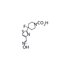 O=C(O)N1CCC(F)(c2nc(/C=N/O)cs2)CC1